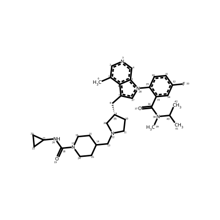 Cc1cncc2c1c(C[C@@H]1CCN(CC3CCN(C(=O)NC4CC4)CC3)C1)cn2-c1ccc(F)cc1C(=O)N(C)C(C)C